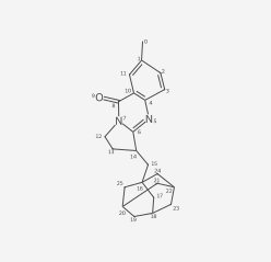 Cc1ccc2nc3n(c(=O)c2c1)CCC3CC12CC3CC(CC(C3)C1)C2